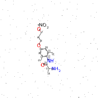 Cc1cc(OCCCO[N+](=O)[O-])cc(C)c1NC(=O)C(C)N